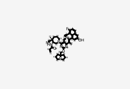 C#Cc1c(F)ccc2cc(O)cc(-c3ncc4c(N5CCC[C@@](C)(C#N)[C@H](NC(=O)C=C)C5)nc(OCC56CCCN5CCC6)nc4c3F)c12